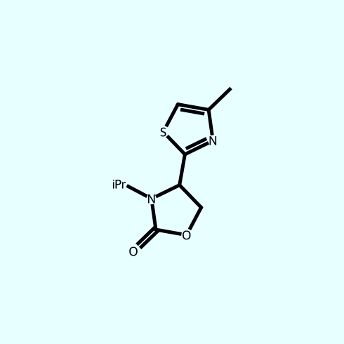 Cc1csc(C2COC(=O)N2C(C)C)n1